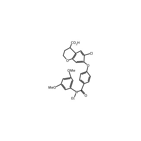 CCN(C(=O)c1ccc(Oc2cc3c(cc2Cl)C(C(=O)O)CCO3)cc1)c1cc(OC)cc(OC)c1